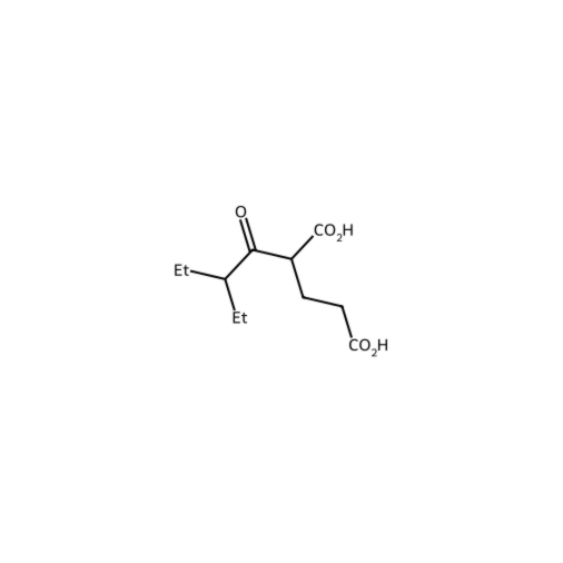 CCC(CC)C(=O)C(CCC(=O)O)C(=O)O